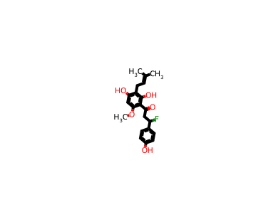 COc1cc(O)c(CC=C(C)C)c(O)c1C(=O)CC(F)c1ccc(O)cc1